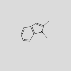 Cc1cc2ccc[c]c2n1C